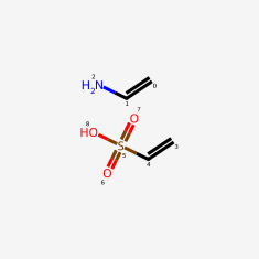 C=CN.C=CS(=O)(=O)O